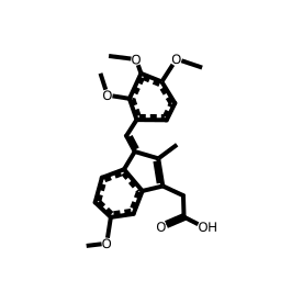 COc1ccc2c(c1)C(CC(=O)O)=C(C)C2=Cc1ccc(OC)c(OC)c1OC